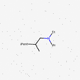 CCCC(C)C(C)CN(CC)C(C)C